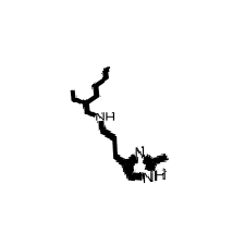 CCCCC(CC)CNCCCc1c[nH]c(C)n1